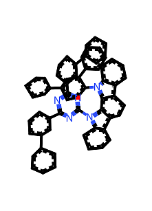 c1ccc(-c2cccc(-c3nc(-c4cccc(-c5ccccc5)c4)nc(-n4c5ccccc5c5ccc6c7ccccc7n(-c7ccc(-c8ccccc8)cc7-c7ccccc7)c6c54)n3)c2)cc1